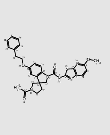 COc1ccc2nc(NC(=O)N3CC4(CCN(C(C)=O)C4)c4cc(OCCc5ccccc5)ccc43)sc2n1